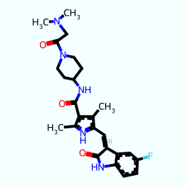 Cc1[nH]c(/C=C2\C(=O)Nc3ccc(F)cc32)c(C)c1C(=O)NC1CCN(C(=O)CN(C)C)CC1